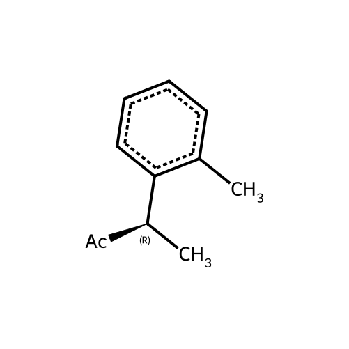 CC(=O)[C@H](C)c1ccccc1C